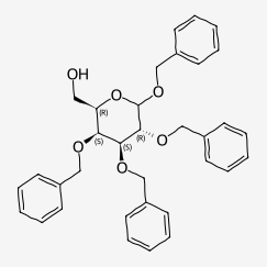 OC[C@H]1OC(OCc2ccccc2)[C@H](OCc2ccccc2)[C@@H](OCc2ccccc2)[C@H]1OCc1ccccc1